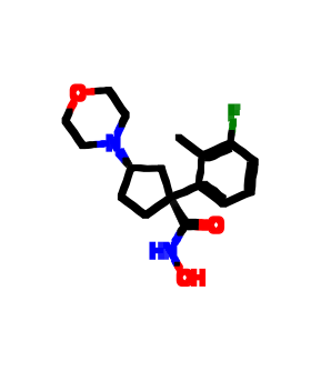 Cc1c(F)cccc1[C@]1(C(=O)NO)CC[C@@H](N2CCOCC2)C1